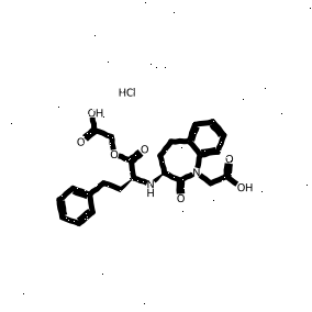 Cl.O=C(O)COC(=O)[C@H](CCc1ccccc1)N[C@H]1CCc2ccccc2N(CC(=O)O)C1=O